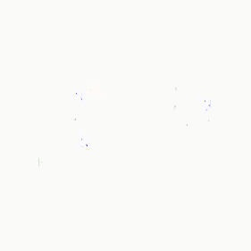 Brc1ccc(C2=NOC(CSCCc3ccncc3)C2)nc1